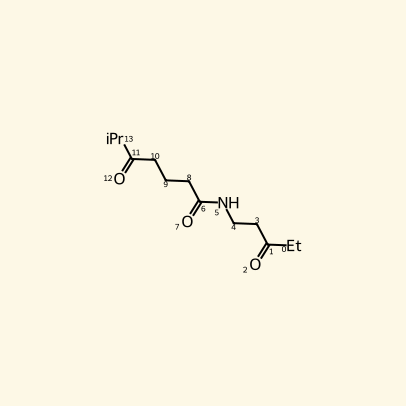 CCC(=O)CCNC(=O)CCCC(=O)C(C)C